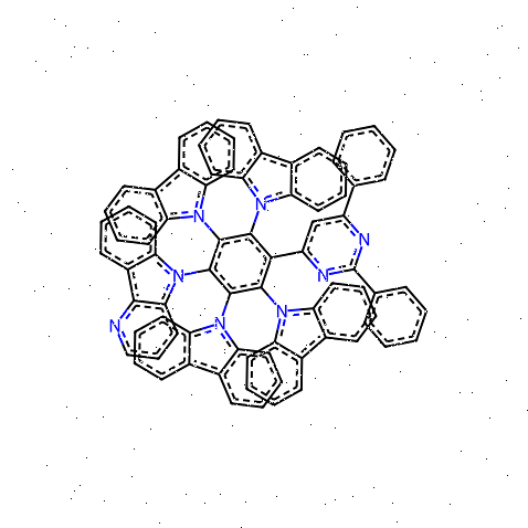 c1ccc(-c2cc(-c3c(-n4c5ccccc5c5ccccc54)c(-n4c5ccccc5c5ccccc54)c(-n4c5ccccc5c5ncccc54)c(-n4c5ccccc5c5ccccc54)c3-n3c4ccccc4c4ccccc43)nc(-c3ccccc3)n2)cc1